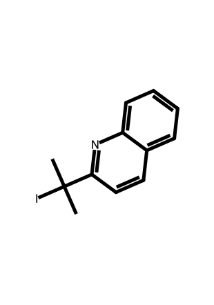 CC(C)(I)c1ccc2ccccc2n1